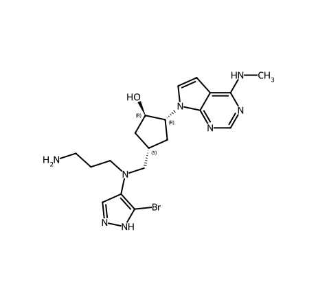 CNc1ncnc2c1ccn2[C@@H]1C[C@H](CN(CCCN)c2cn[nH]c2Br)C[C@H]1O